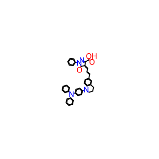 O=C(O)C1=NN(c2ccccc2)C(=O)/C1=C\C=C\c1ccc2c(c1)CCCN2c1ccc(N(c2ccccc2)c2ccccc2)cc1